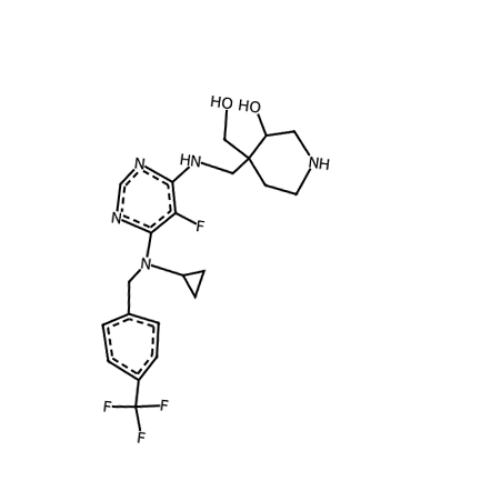 OCC1(CNc2ncnc(N(Cc3ccc(C(F)(F)F)cc3)C3CC3)c2F)CCNCC1O